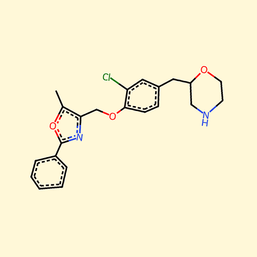 Cc1oc(-c2ccccc2)nc1COc1ccc(CC2CNCCO2)cc1Cl